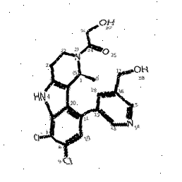 C[C@H]1c2c([nH]c3c(Cl)c(Cl)cc(-c4cncc(CO)c4)c23)CCN1C(=O)CO